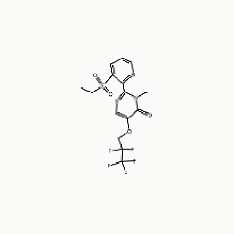 CCS(=O)(=O)c1cccnc1-c1ncc(OCC(F)(F)C(F)(F)F)c(=O)n1C